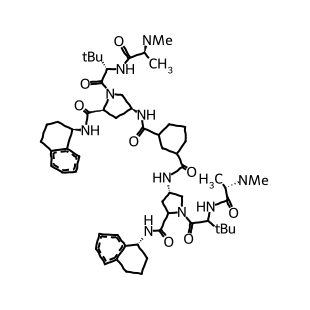 CN[C@@H](C)C(=O)NC(C(=O)N1C[C@@H](NC(=O)C2CCCC(C(=O)N[C@H]3C[C@@H](C(=O)N[C@@H]4CCCc5ccccc54)N(C(=O)[C@@H](NC(=O)[C@H](C)NC)C(C)(C)C)C3)C2)CC1C(=O)N[C@@H]1CCCc2ccccc21)C(C)(C)C